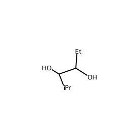 CCC(O)C(O)C(C)C